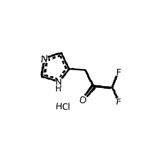 Cl.O=C(Cc1cnc[nH]1)C(F)F